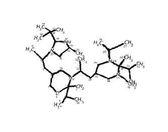 CC(CC1COC(C)(C(C)C)N(C(C)CC2CN(C)C(C)(C(C)C)N(C(C)C)C2)C1)N1C[C@H](C)NC1C(C)(C)C